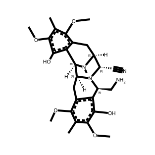 COc1c(C)c(OC)c2c(c1O)[C@@H]1[C@@H]3Cc4c(OC)c(C)c(OC)c(O)c4[C@H](CN)N3[C@@H](C#N)[C@H](C2)N1C